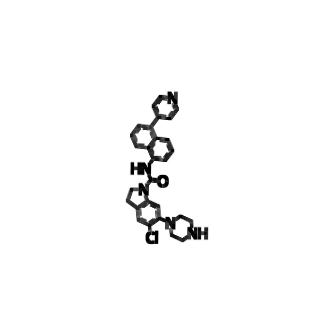 O=C(Nc1cccc2c(-c3ccncc3)cccc12)N1CCc2cc(Cl)c(N3CCNCC3)cc21